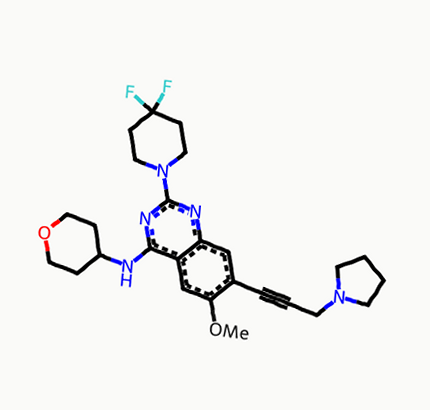 COc1cc2c(NC3CCOCC3)nc(N3CCC(F)(F)CC3)nc2cc1C#CCN1CCCC1